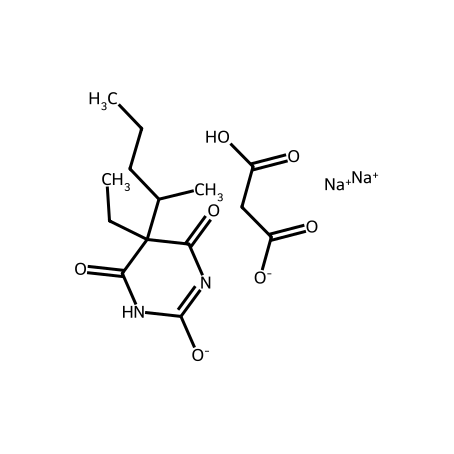 CCCC(C)C1(CC)C(=O)N=C([O-])NC1=O.O=C([O-])CC(=O)O.[Na+].[Na+]